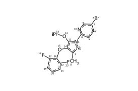 Cc1nn(-c2ccc(Br)cn2)c(OC(C)C)c1Oc1c(F)cccc1F